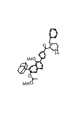 COc1c(-c2ccc(C(=O)C3CNCCN3Cc3ccccc3)cc2)ccc2cc(OC(C)OC)c(C34CC5CC(CC(C5)C3)C4)cc12